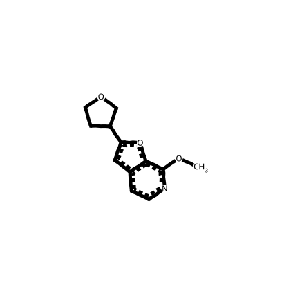 COc1nccc2cc(C3CCOC3)oc12